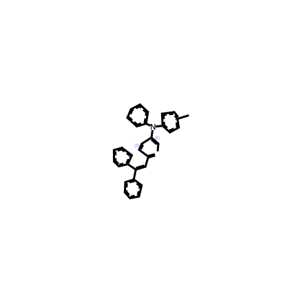 C=C(C=C(c1ccccc1)c1ccccc1)/C=C\C(=C/C)N(c1ccccc1)c1ccc(C)cc1